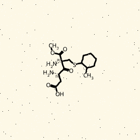 COC(=O)[C@@](N)(CSC1CCCCC1C)C(=O)[C@@H](N)CC(=O)O